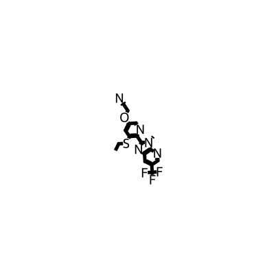 CCSc1cc(OCC#N)cnc1-c1nc2cc(C(F)(F)F)cnc2n1C